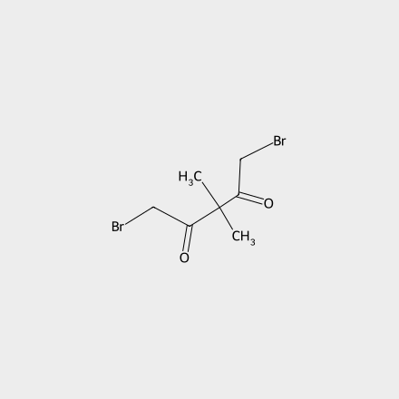 CC(C)(C(=O)CBr)C(=O)CBr